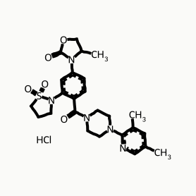 Cc1cnc(N2CCN(C(=O)c3ccc(N4C(=O)OCC4C)cc3N3CCCS3(=O)=O)CC2)c(C)c1.Cl